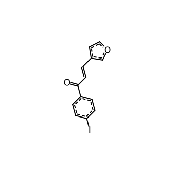 O=C(/C=C/c1ccoc1)c1ccc(I)cc1